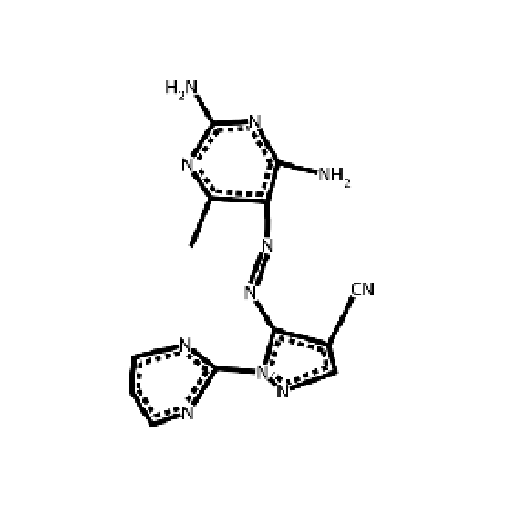 Cc1nc(N)nc(N)c1/N=N/c1c(C#N)cnn1-c1ncccn1